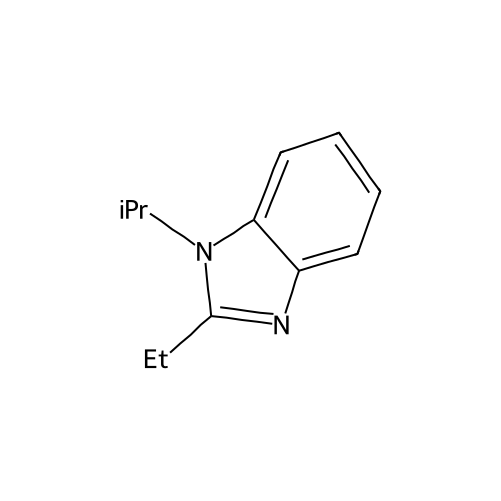 CCc1nc2ccccc2n1C(C)C